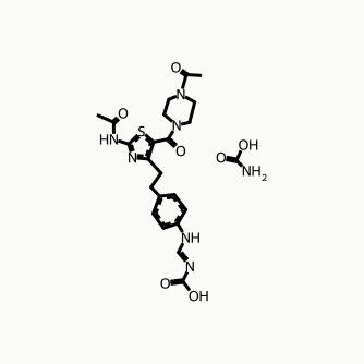 CC(=O)Nc1nc(CCc2ccc(NC=NC(=O)O)cc2)c(C(=O)N2CCN(C(C)=O)CC2)s1.NC(=O)O